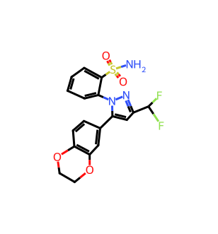 NS(=O)(=O)c1ccccc1-n1nc(C(F)F)cc1-c1ccc2c(c1)OCCO2